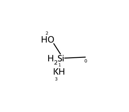 C[SiH2]O.[KH]